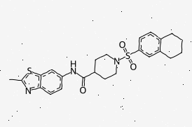 Cc1nc2ccc(NC(=O)C3CCN(S(=O)(=O)c4ccc5c(c4)CCCC5)CC3)cc2s1